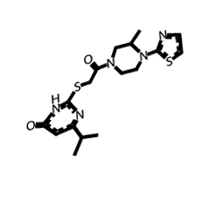 CC(C)c1cc(=O)[nH]c(SCC(=O)N2CCN(c3nccs3)C(C)C2)n1